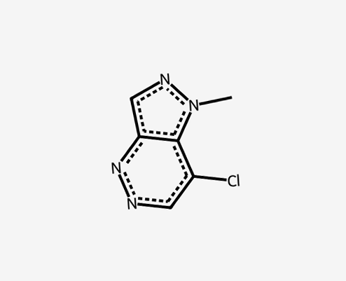 Cn1ncc2nncc(Cl)c21